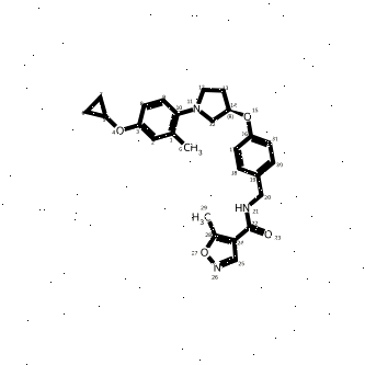 Cc1cc(OC2CC2)ccc1N1CC[C@@H](Oc2ccc(CNC(=O)c3cnoc3C)cc2)C1